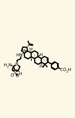 C=C(C)[C@@H]1CC[C@]2(NCCN3C[C@H]4C[C@]3(N)CS4(=O)=O)CC[C@]3(C)[C@H](CC[C@@H]4[C@@]5(C)CC=C(c6ccc(C(=O)O)cc6)C(C)(C)[C@@H]5CC[C@]43C)[C@@H]12